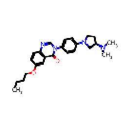 CCCCOc1ccc2ncn(-c3ccc(N4CCC(N(C)C)C4)cc3)c(=O)c2c1